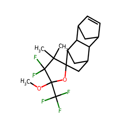 COC1(C(F)(F)F)OC2(CC3CC2C2C4C=CC(C4)C32)C(C)(C)C1(F)F